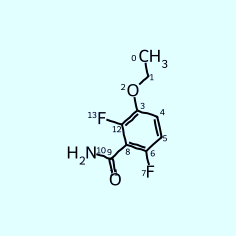 CCOc1ccc(F)c(C(N)=O)c1F